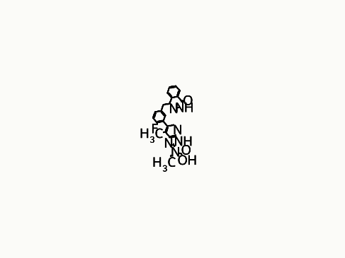 CCN(C(=O)O)c1nc2c(C)c(-c3cc(Cc4n[nH]c(=O)c5ccccc45)ccc3F)cnc2[nH]1